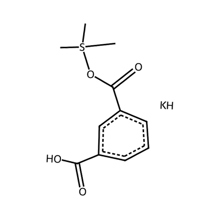 CS(C)(C)OC(=O)c1cccc(C(=O)O)c1.[KH]